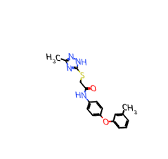 Cc1cccc(Oc2ccc(NC(=O)CSc3nc(C)n[nH]3)cc2)c1